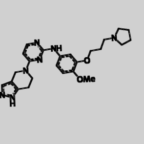 COc1ccc(Nc2nccc(N3CCc4[nH]ncc4C3)n2)cc1OCCCN1CCCC1